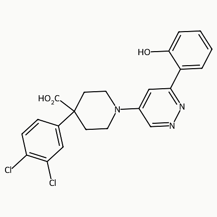 O=C(O)C1(c2ccc(Cl)c(Cl)c2)CCN(c2cnnc(-c3ccccc3O)c2)CC1